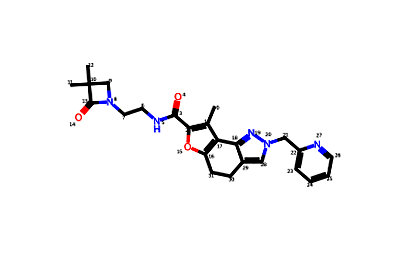 Cc1c(C(=O)NCCN2CC(C)(C)C2=O)oc2c1-c1nn(Cc3ccccn3)cc1CC2